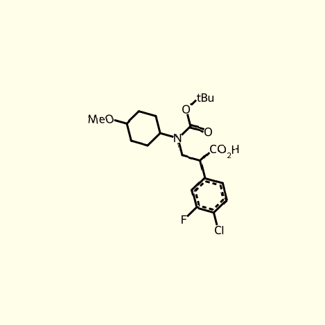 COC1CCC(N(CC(C(=O)O)c2ccc(Cl)c(F)c2)C(=O)OC(C)(C)C)CC1